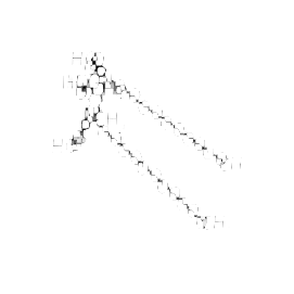 COCCOCCOCCOCCOCCOCCOCCOCCOCCOCCOCCC1(C)C(C=CC=CC=C2N(CCOOCCOCCOCCOCCOCCOCCOCCOCCOCCOC)c3ccc(S(=O)(=O)O)cc3C2(C)C)=[N+](CCCCCC(=O)O)c2ccc(SOOO)cc21